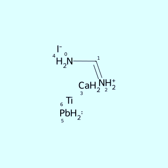 NC=[NH2+].[CaH2].[I-].[PbH2].[Ti]